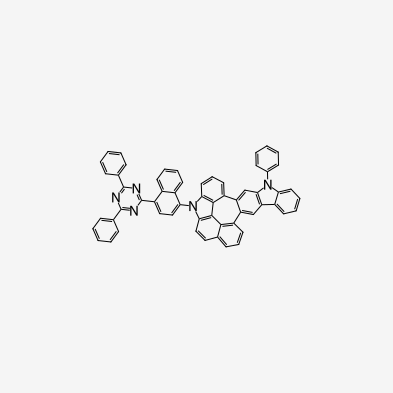 c1ccc(-c2nc(-c3ccccc3)nc(-c3ccc(-n4c5cccc6c5c5c7c(cccc7ccc54)-c4cc5c7ccccc7n(-c7ccccc7)c5cc4-6)c4ccccc34)n2)cc1